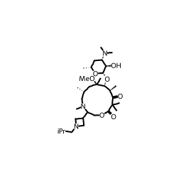 CO[C@]1(C)C[C@@H](C)CN(C)C(C2CN(CC(C)C)C2)COC(=O)C(C)(C)C(=O)[C@H](C)[C@H]1O[C@@H]1O[C@H](C)C[C@H](N(C)C)[C@H]1O